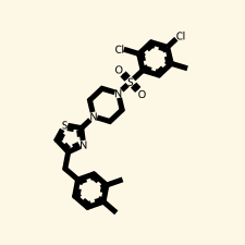 Cc1ccc(Cc2csc(N3CCN(S(=O)(=O)c4cc(C)c(Cl)cc4Cl)CC3)n2)cc1C